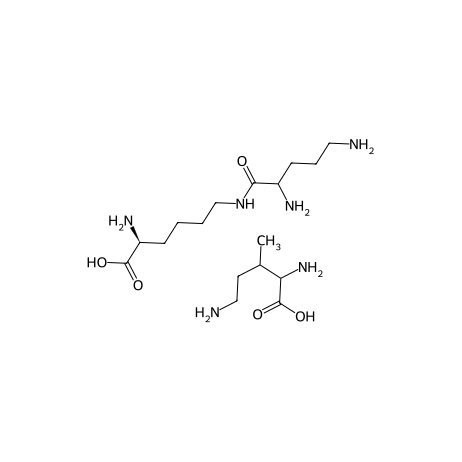 CC(CCN)C(N)C(=O)O.NCCCC(N)C(=O)NCCCC[C@H](N)C(=O)O